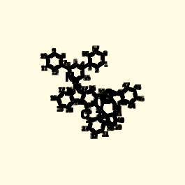 c1ccc(-c2cc(-c3ccccc3)nc(-n3c4ccccc4c4c5c(ccc43)C3(c4ccccc4O5)c4ccccc4-n4c5ccccc5c5cccc3c54)c2)cc1